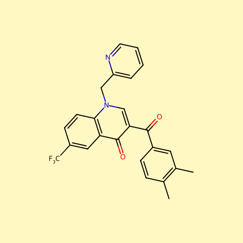 Cc1ccc(C(=O)c2cn(Cc3ccccn3)c3ccc(C(F)(F)F)cc3c2=O)cc1C